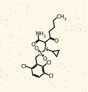 CCCCC(=O)C(C(N)=O)N(C1CC1)S(=O)(=O)Cc1c(Cl)ccc(Cl)c1Cl